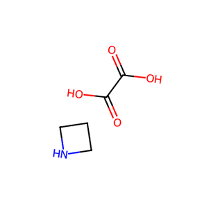 C1CNC1.O=C(O)C(=O)O